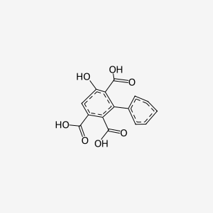 O=C(O)c1cc(O)c(C(=O)O)c(-c2ccccc2)c1C(=O)O